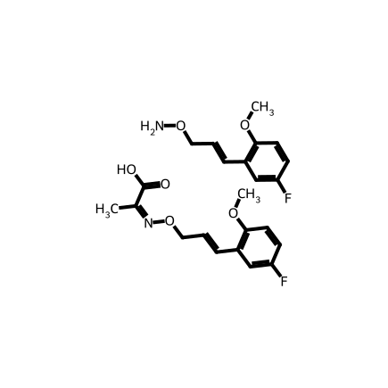 COc1ccc(F)cc1C=CCON.COc1ccc(F)cc1C=CCON=C(C)C(=O)O